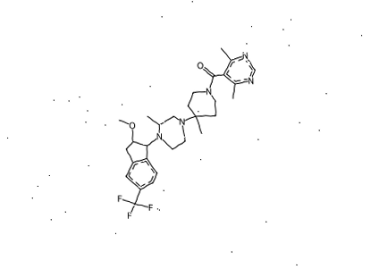 COC1Cc2cc(C(F)(F)F)ccc2C1N1CCN(C2(C)CCN(C(=O)c3c(C)ncnc3C)CC2)CC1C